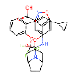 O=C(O)c1cccc(NC(=O)N2C3CCC2CC(OCc2c(-c4ccccc4OC(F)(F)F)noc2C2CC2)C3)c1